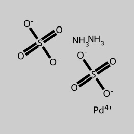 N.N.O=S(=O)([O-])[O-].O=S(=O)([O-])[O-].[Pd+4]